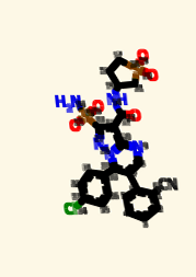 N#Cc1ccccc1-c1cnc2c(C(=O)NC3CCS(=O)(=O)C3)c(S(N)(=O)=O)nn2c1-c1ccc(Cl)cc1